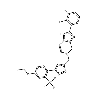 CCOc1ccc(-c2cc(CN3Cc4nc(-c5cccc(F)c5F)[nH]c4C=N3)on2)c(C(F)(F)F)c1